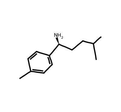 Cc1ccc([C@@H](N)CCC(C)C)cc1